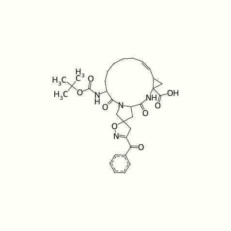 CC(C)(C)OC(=O)NC1CCCCC/C=C\C2CC2(C(=O)O)NC(=O)C2CC3(CC(C(=O)c4ccccc4)=NO3)CN2C1=O